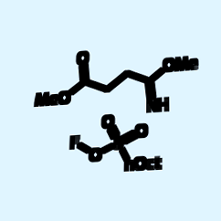 CCCCCCCCS(=O)(=O)OF.COC(=N)CCC(=O)OC